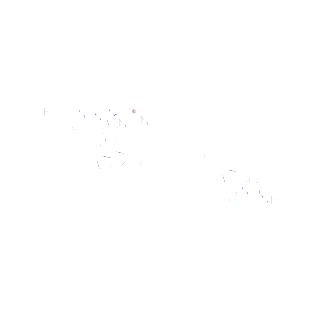 C[C@H](CN1CCC(OCCOCCOCCOc2ccc3c(c2)C(=O)N(C2CCC(=O)NC2=O)C3=O)CC1)Oc1nc(N2CCN(C(=O)O)C(C(C)(C)C)C2)c2cc(Cl)c(-c3cc(O)cc4ccccc34)c(F)c2n1